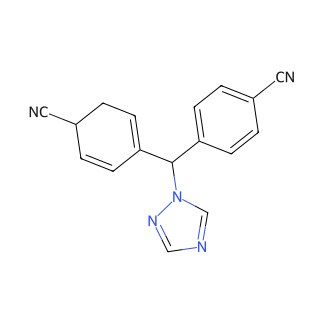 N#Cc1ccc(C(C2=CCC(C#N)C=C2)n2cncn2)cc1